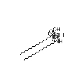 CCCCCCCCCCCCCCCCCC(=O)N[C@@H](C)C(=O)O.CCCCCCCCCCCCCCCCCC(=O)N[C@@H](C)C(=O)O